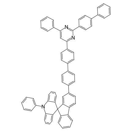 c1ccc(-c2ccc(-c3nc(-c4ccccc4)cc(-c4ccc(-c5ccc(-c6ccc7c(c6)C6(c8ccccc8-7)c7ccccc7N(c7ccccc7)c7ccccc76)cc5)cc4)n3)cc2)cc1